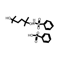 CC(C)(O)CCC(C)(C)O.O=S(=O)(O)c1ccccc1.O=S(=O)(O)c1ccccc1